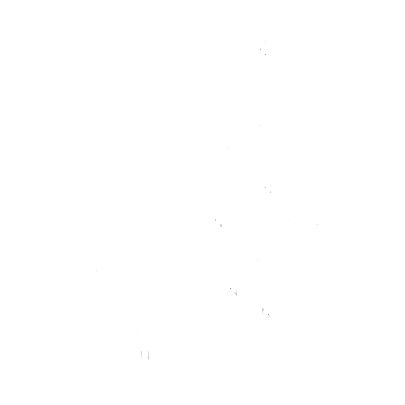 C/C=C(\C=C(/C)Br)n1ncc2c(=O)n(CC3(O)CCNCC3)cnc21